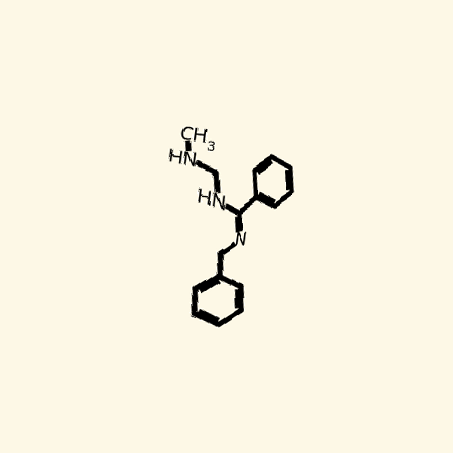 CNCN/C(=N\Cc1ccccc1)c1ccccc1